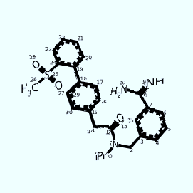 CC(C)N(Cc1cccc(C(=N)N)c1)C(=O)Cc1ccc(-c2ccccc2S(C)(=O)=O)cc1